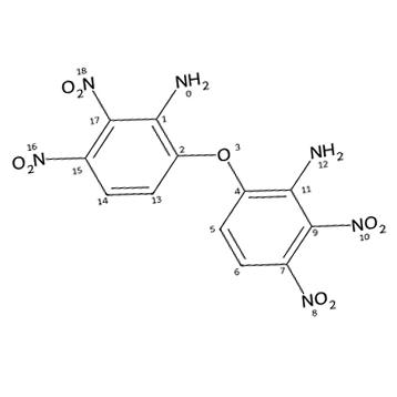 Nc1c(Oc2ccc([N+](=O)[O-])c([N+](=O)[O-])c2N)ccc([N+](=O)[O-])c1[N+](=O)[O-]